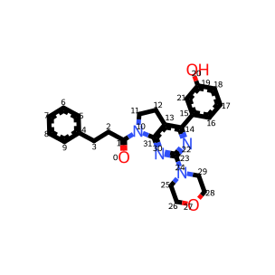 O=C(CCc1ccccc1)N1CCc2c(-c3cccc(O)c3)nc(N3CCOCC3)nc21